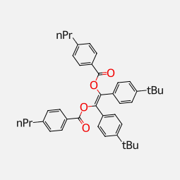 CCCc1ccc(C(=O)OC(=C(OC(=O)c2ccc(CCC)cc2)c2ccc(C(C)(C)C)cc2)c2ccc(C(C)(C)C)cc2)cc1